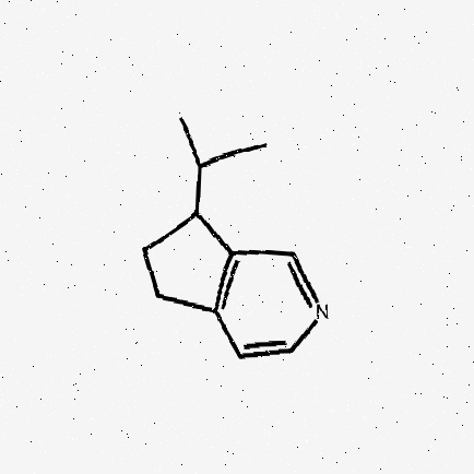 CC(C)C1CCc2ccncc21